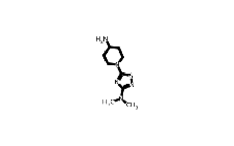 CN(C)c1nsc(N2CCC(N)CC2)n1